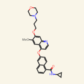 COc1cc2c(Oc3ccc4c(C(=O)NC5CC5)cccc4c3)ccnc2cc1OCCCN1CCOCC1